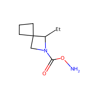 CCC1N(C(=O)ON)CC12CCC2